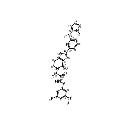 COc1cc(F)cc(CNC(=O)[C@@H](C)N2CCc3sc(-c4ccnc(Nc5ccnn5C)n4)cc3C2=O)c1